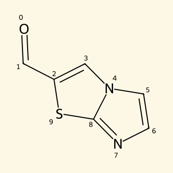 O=Cc1cn2ccnc2s1